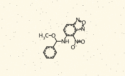 COC(Nc1ccc2nonc2c1[N+](=O)[O-])c1ccccc1